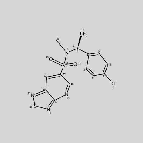 CN([C@H](c1ccc(Cl)cc1)C(F)(F)F)S(=O)(=O)c1cnc2nsnc2c1